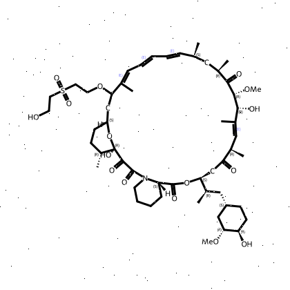 CO[C@@H]1C[C@H](C[C@@H](C)[C@@H]2CC(=O)[C@H](C)/C=C(\C)[C@@H](O)[C@@H](OC)C(=O)[C@H](C)C[C@H](C)/C=C/C=C/C=C(\C)C(OCCS(=O)(=O)CCO)C[C@@H]3CC[C@@H](C)[C@@](O)(O3)C(=O)C(=O)N3CCCC[C@H]3C(=O)O2)CC[C@H]1O